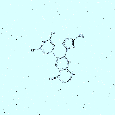 Cc1cc(-c2cc3c(=O)cc[nH]c3nc2-n2ccc(C)n2)cc(Cl)n1